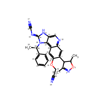 CC1=NOC(C)C1c1cc2ncc3[nH]c(=NC#N)n([C@H](C)c4ccccc4)c3c2cc1OCC#N